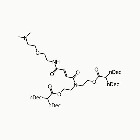 CCCCCCCCCCC(CCCCCCCCCC)C(=O)OCCN(CCOC(=O)C(CCCCCCCCCC)CCCCCCCCCC)C(=O)C=CC(=O)NCCOCCN(C)C